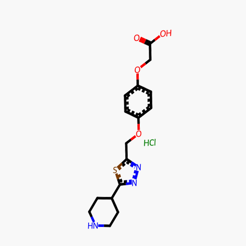 Cl.O=C(O)COc1ccc(OCc2nnc(C3CCNCC3)s2)cc1